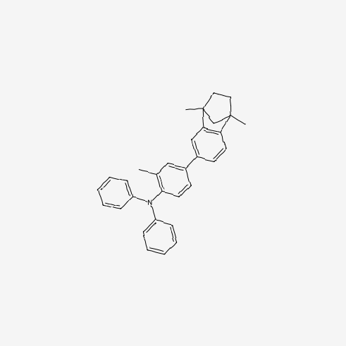 Cc1cc(-c2ccc3c(c2)C2(C)CCC3(C)C2)ccc1N(c1ccccc1)c1ccccc1